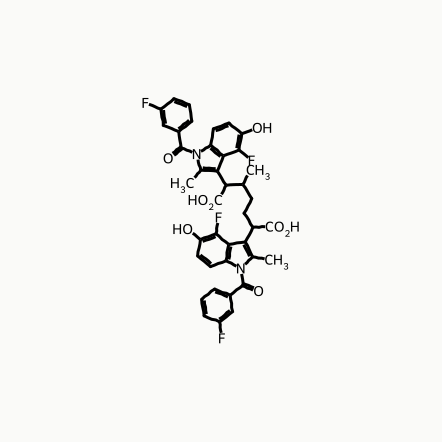 Cc1c(C(CCC(C)C(C(=O)O)c2c(C)n(C(=O)c3cccc(F)c3)c3ccc(O)c(F)c23)C(=O)O)c2c(F)c(O)ccc2n1C(=O)c1cccc(F)c1